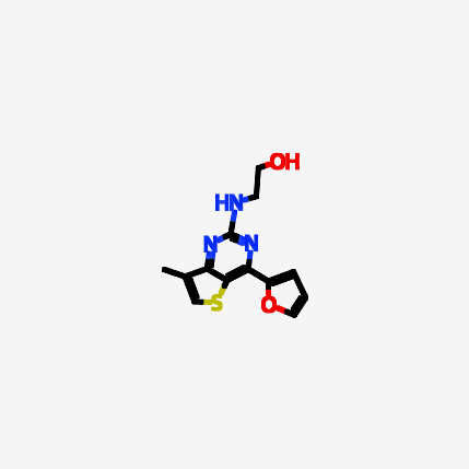 Cc1csc2c(-c3ccco3)nc(NCCO)nc12